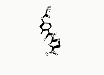 Cc1cc(OC(N)=O)ccc1C(=O)Nc1ncc([N+](=O)[O-])s1